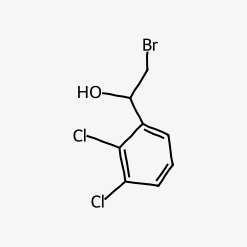 OC(CBr)c1cccc(Cl)c1Cl